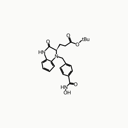 CC(C)(C)OC(=O)CC[C@@H]1C(=O)Nc2ccccc2N1Cc1ccc(C(=O)NO)cc1